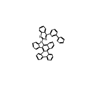 c1ccc(-c2cccc(-c3nc(-n4c5ccccc5c5c6c7ccccc7c7ccccc7c6c6ccccc6c54)nc4ccccc34)c2)cc1